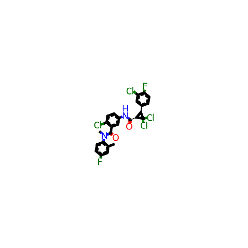 Cc1cc(F)ccc1N(C)C(=O)c1cc(NC(=O)[C@@H]2[C@@H](c3ccc(F)c(Cl)c3)C2(Cl)Cl)ccc1Cl